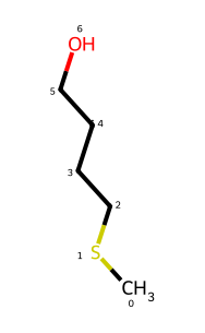 CSCC[CH]CO